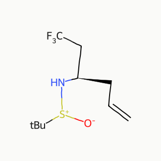 C=CC[C@H](CC(F)(F)F)N[S+]([O-])C(C)(C)C